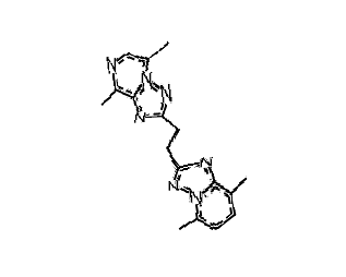 Cc1ccc(C)n2nc(CCc3nc4c(C)ncc(C)n4n3)nc12